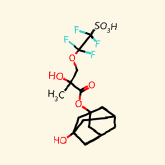 CC(O)(COC(F)(F)C(F)(F)S(=O)(=O)O)C(=O)OC12CC3CC(CC(O)(C3)C1)C2